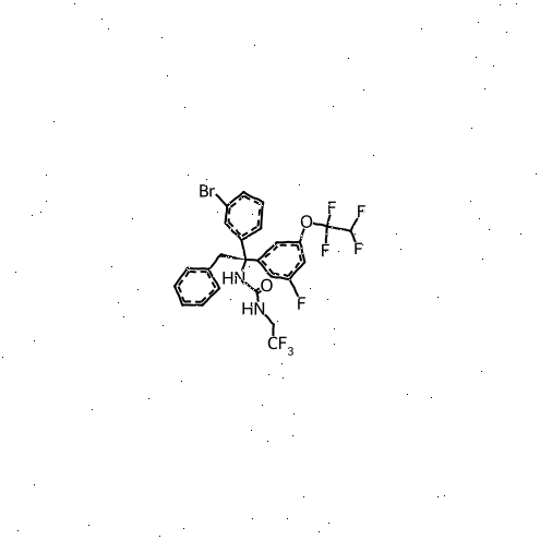 O=C(NCC(F)(F)F)N[C@](Cc1ccccc1)(c1cccc(Br)c1)c1cc(F)cc(OC(F)(F)C(F)F)c1